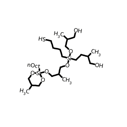 CCCCCCCC[Si]1(OCC(C)CO[Si](CCCCS)(CCC(C)CO)OCC(C)CO)OCC(C)CO1